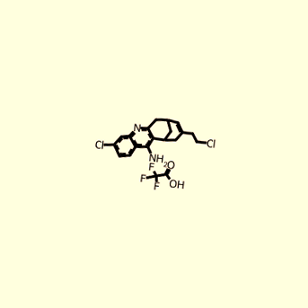 Nc1c2c(nc3cc(Cl)ccc13)CC1C=C(CCCl)CC2C1.O=C(O)C(F)(F)F